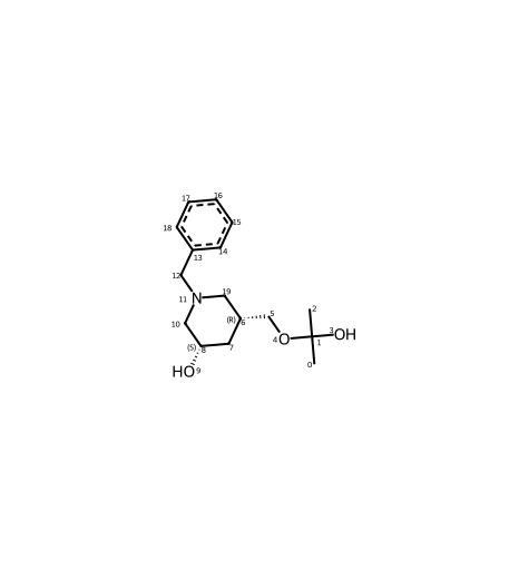 CC(C)(O)OC[C@@H]1C[C@H](O)CN(Cc2ccccc2)C1